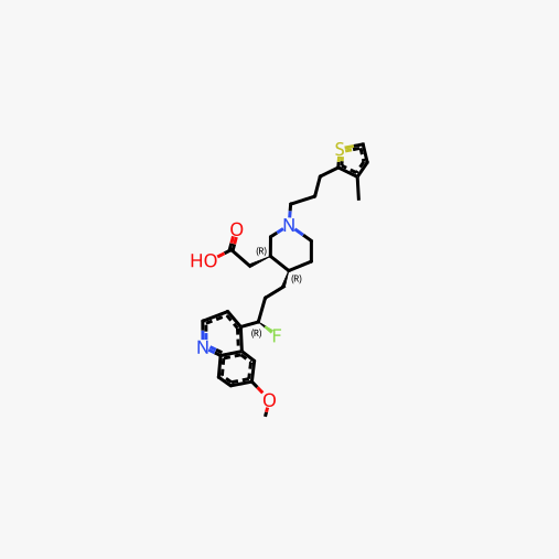 COc1ccc2nccc([C@H](F)CC[C@@H]3CCN(CCCc4sccc4C)C[C@@H]3CC(=O)O)c2c1